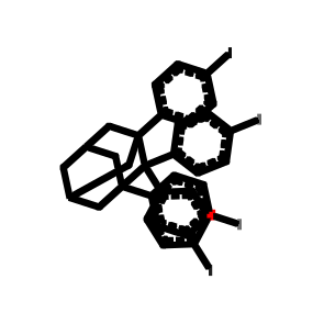 Ic1ccc(C23CC4CC(C2)CC(c2ccc(I)cc2)(C4)C3(c2ccc(I)cc2)c2ccc(I)cc2)cc1